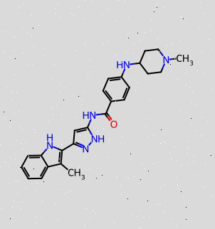 Cc1c(-c2cc(NC(=O)c3ccc(NC4CCN(C)CC4)cc3)[nH]n2)[nH]c2ccccc12